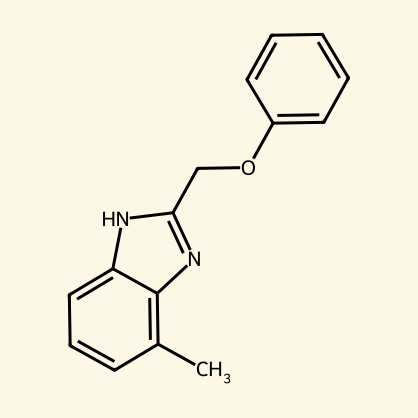 Cc1cccc2[nH]c(COc3ccccc3)nc12